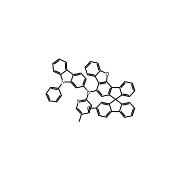 Cc1ccc(N(c2ccc3c4ccccc4n(-c4ccccc4)c3c2)c2cc3c(c4oc5ccccc5c24)-c2ccccc2C32c3ccccc3-c3ccc(F)cc32)nc1